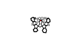 COC(=O)CCC1(CC2(CCC(=O)OC)c3ccccc3-c3nc4ccccc4nc32)c2ccccc2-c2nc3ccccc3nc21